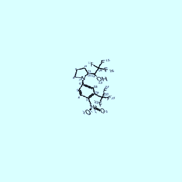 O=[N+]([O-])c1ccc(N2CCC[C@H]2C(O)C(F)(F)F)cc1C(F)(F)F